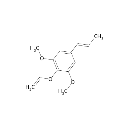 C=COc1c(OC)cc(/C=C/C)cc1OC